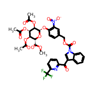 COC(=O)[C@H]1O[C@@H](Oc2ccc(COC(=O)n3cc(C(=O)c4cccc(C(F)(F)F)n4)c4ccccc43)cc2[N+](=O)[O-])[C@H](OC(C)=O)[C@@H](OC(C)=O)[C@@H]1OC(C)=O